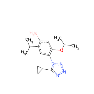 Bc1cc(OC(C)C)c(-n2nnnc2C2CC2)cc1C(C)C